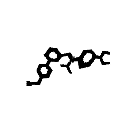 CCC(CC)c1ccc(N(Cc2cccc(-c3ccc(CBr)cc3)c2)C(C)C)cc1